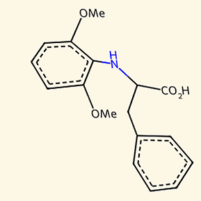 COc1cccc(OC)c1NC(Cc1ccccc1)C(=O)O